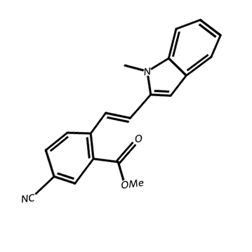 COC(=O)c1cc(C#N)ccc1C=Cc1cc2ccccc2n1C